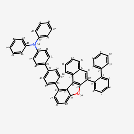 c1ccc(-c2ccccc2-c2cc3ccccc3c3c2oc2cccc(-c4ccc(-c5ccc(N(c6ccccc6)c6ccccc6)cc5)cc4)c23)cc1